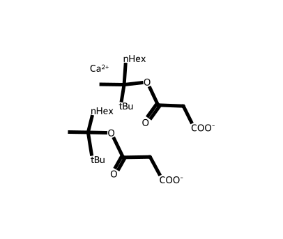 CCCCCCC(C)(OC(=O)CC(=O)[O-])C(C)(C)C.CCCCCCC(C)(OC(=O)CC(=O)[O-])C(C)(C)C.[Ca+2]